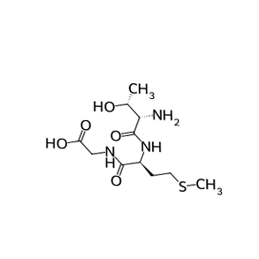 CSCC[C@H](NC(=O)[C@@H](N)[C@@H](C)O)C(=O)NCC(=O)O